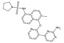 Cc1ccc2c(NS(=O)(=O)N3CCCC3)cccc2c1Oc1ncccc1-c1ccnc(N)n1